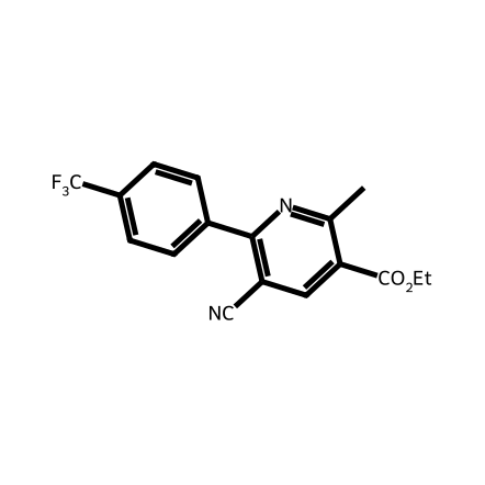 CCOC(=O)c1cc(C#N)c(-c2ccc(C(F)(F)F)cc2)nc1C